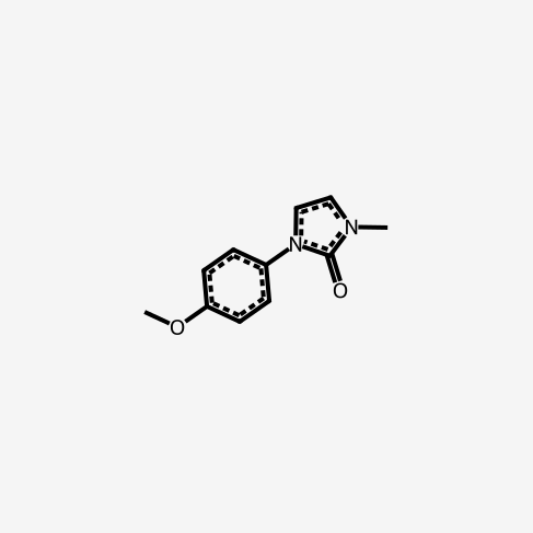 COc1ccc(-n2ccn(C)c2=O)cc1